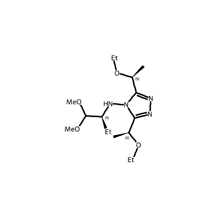 CCO[C@@H](C)c1nnc([C@H](C)OCC)n1N[C@@H](CC)C(OC)OC